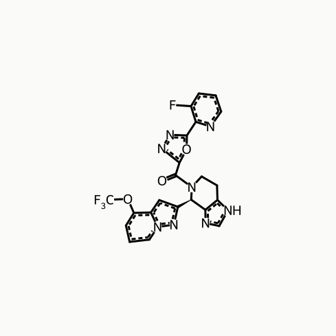 O=C(c1nnc(-c2ncccc2F)o1)N1CCc2[nH]cnc2[C@H]1c1cc2c(OC(F)(F)F)cccn2n1